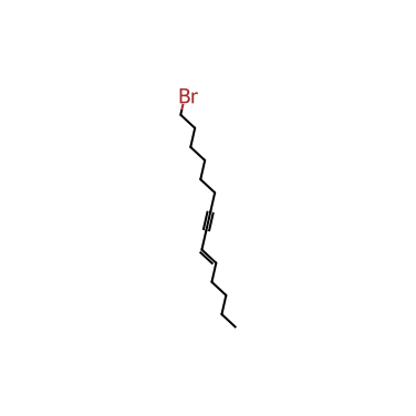 CCCCC=CC#CCCCCCCBr